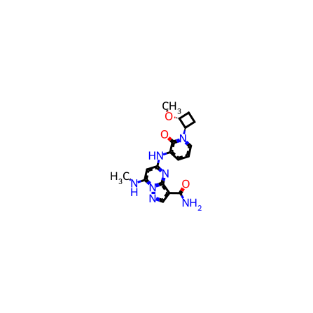 CNc1cc(Nc2cccn([C@@H]3CC[C@H]3OC)c2=O)nc2c(C(N)=O)cnn12